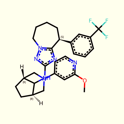 COc1cc(N2C[C@H]3CC[C@H](C2)C3Nc2nc3n(n2)CCCC[C@H]3c2cccc(C(F)(F)F)c2)ccn1